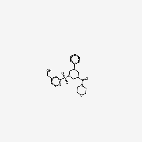 O=C(C1CC(c2ccccc2)CN(S(=O)(=O)c2cc(CO)ccn2)C1)N1CCOCC1